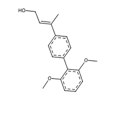 COc1cccc(OC)c1-c1ccc(C(C)=CCO)cc1